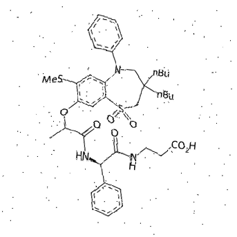 CCCCC1(CCCC)CN(c2ccccc2)c2cc(SC)c(OC(C)C(=O)N[C@@H](C(=O)NCCC(=O)O)c3ccccc3)cc2S(=O)(=O)C1